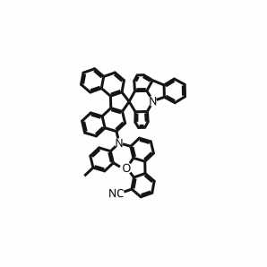 Cc1ccc(N(c2cc3c(c4ccccc24)-c2c(ccc4ccccc24)C32c3ccccc3-n3c4ccccc4c4cccc2c43)c2cccc3c2oc2c(C#N)cccc23)c(C)c1